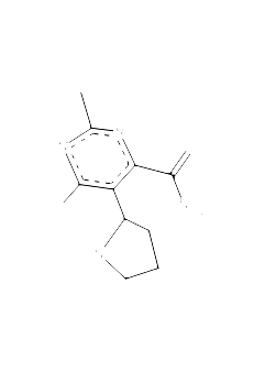 CCc1nc(C)nc(C(N)=O)c1C1CCCN1